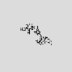 CC(C)(C)[Si](C)(C)OCc1cnn(C[C@H]2NC(=O)[C@H]2NC(=O)O)n1